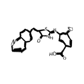 O=C1NC(=Nc2cc(C(=O)O)ccc2Cl)SC1=Cc1ccc2ncccc2c1